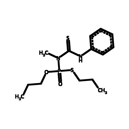 CCCOP(=O)(SCCC)N(C)C(=S)Nc1ccccc1